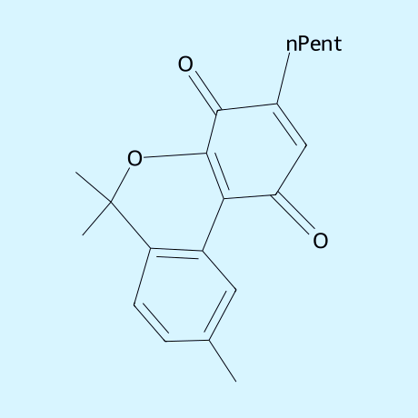 CCCCCC1=CC(=O)C2=C(OC(C)(C)c3ccc(C)cc32)C1=O